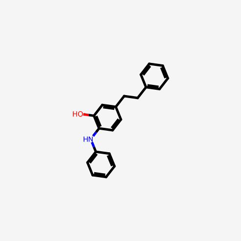 Oc1cc(CCc2ccccc2)ccc1Nc1ccccc1